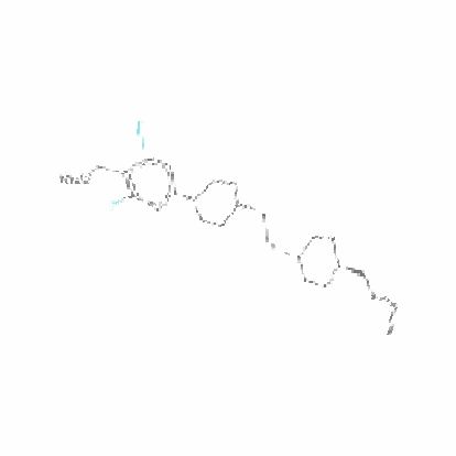 C=CCC[C@H]1CC[C@H](CCC2CCC(c3cc(F)c(COC)c(F)c3)CC2)CC1